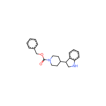 O=C(OCc1ccccc1)N1CCC(C2CNc3ccccc32)CC1